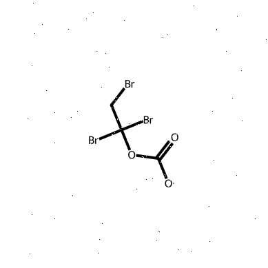 [O]C(=O)OC(Br)(Br)CBr